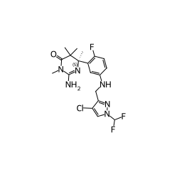 CN1C(=O)C(C)(C)[C@@](C)(c2cc(NCc3nn(C(F)F)cc3Cl)ccc2F)N=C1N